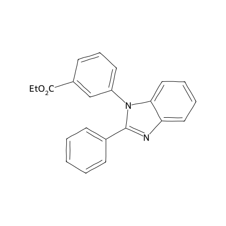 CCOC(=O)c1cccc(-n2c(-c3ccccc3)nc3ccccc32)c1